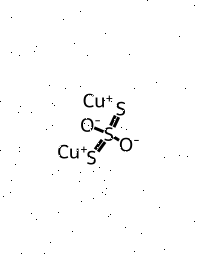 [Cu+].[Cu+].[O-]S([O-])(=S)=S